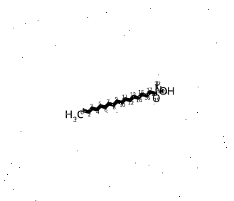 CCCCCCCCCCCCCCCCCCC(=O)N(O)I